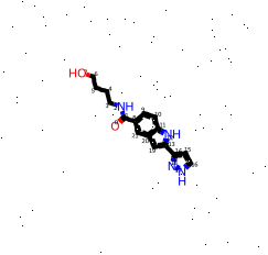 O=C(NCCCCO)c1ccc2[nH]c(-c3cc[nH]n3)cc2c1